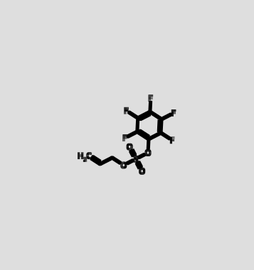 C=CCOS(=O)(=O)Oc1c(F)c(F)c(F)c(F)c1F